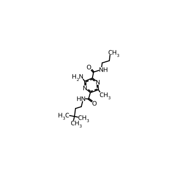 CCCNC(=O)c1nc(C)c(C(=O)NCCC(C)(C)C)nc1N